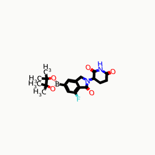 CC1(C)OB(c2cc(F)c3c(c2)CN(C2CCC(=O)NC2=O)C3=O)OC1(C)C